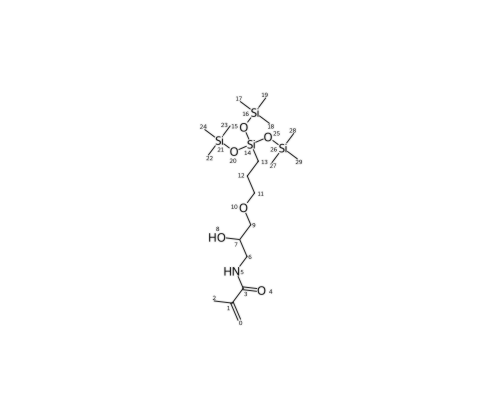 C=C(C)C(=O)NCC(O)COCCC[Si](O[Si](C)(C)C)(O[Si](C)(C)C)O[Si](C)(C)C